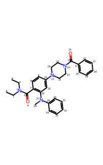 CCN(CC)C(=O)c1ccc(N2CCN(C(=O)c3ccccc3)CC2)cc1N(C)c1ccccc1